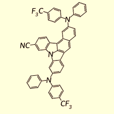 N#Cc1ccc2c3c4cc(N(c5ccccc5)c5ccc(C(F)(F)F)cc5)ccc4cc4c5ccc(N(c6ccccc6)c6ccc(C(F)(F)F)cc6)cc5n(c2c1)c43